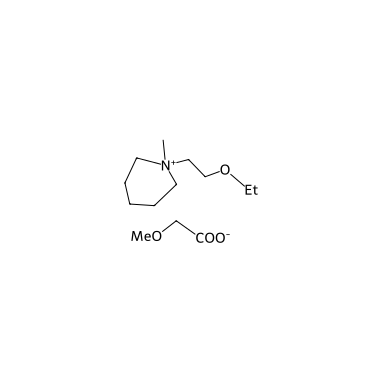 CCOCC[N+]1(C)CCCCC1.COCC(=O)[O-]